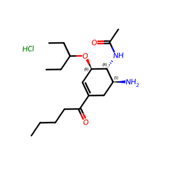 CCCCC(=O)C1=C[C@@H](OC(CC)CC)[C@H](NC(C)=O)[C@@H](N)C1.Cl